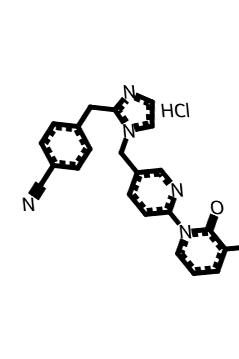 Cl.N#Cc1ccc(Cc2nccn2Cc2ccc(-n3cccc(Br)c3=O)nc2)cc1